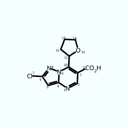 O=C(O)c1cnc2cc(Cl)nn2c1C1CCCO1